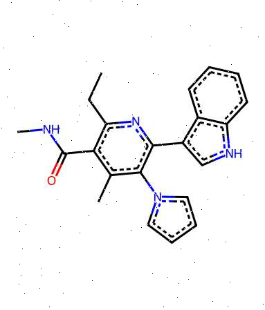 CCc1nc(-c2c[nH]c3ccccc23)c(-n2cccc2)c(C)c1C(=O)NC